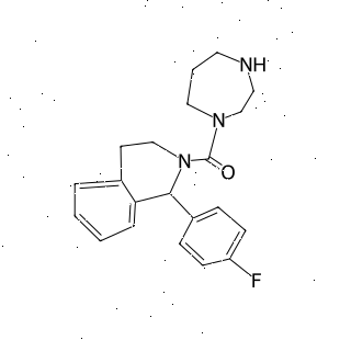 O=C(N1CCCNCC1)N1CCc2ccccc2C1c1ccc(F)cc1